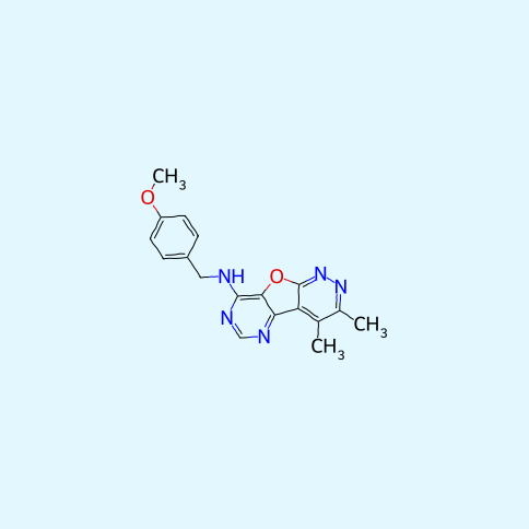 COc1ccc(CNc2ncnc3c2oc2nnc(C)c(C)c23)cc1